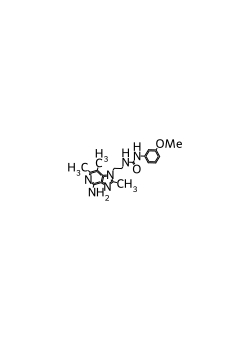 COc1cccc(NC(=O)NCCn2c(C)nc3c(N)nc(C)c(C)c32)c1